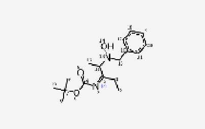 CC/C(=N/C(=O)OC(C)(C)C)C(C)N(O)Cc1ccccc1